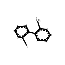 Cc1ccccc1-c1ccccc1I